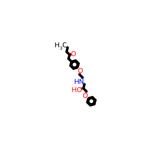 CCCC(=O)Cc1ccc(OCCNC[C@H](O)COc2ccccc2)cc1